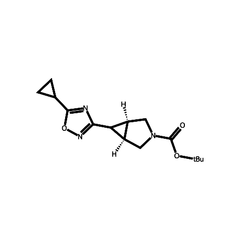 CC(C)(C)OC(=O)N1C[C@@H]2C(c3noc(C4CC4)n3)[C@@H]2C1